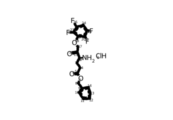 Cl.N[C@@H](CCC(=O)OCc1ccccc1)C(=O)COc1c(F)c(F)cc(F)c1F